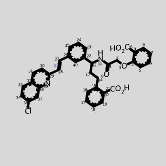 O=C(COc1ccccc1C(=O)O)NC(CCc1ccccc1C(=O)O)c1cccc(/C=C/c2ccc3ccc(Cl)cc3n2)c1